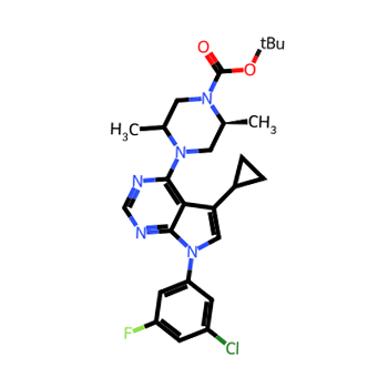 CC1CN(C(=O)OC(C)(C)C)[C@@H](C)CN1c1ncnc2c1c(C1CC1)cn2-c1cc(F)cc(Cl)c1